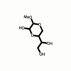 COC1OCC(C(O)CO)O[C]1O